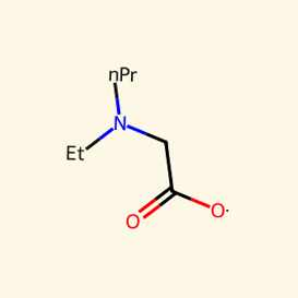 CCCN(CC)CC([O])=O